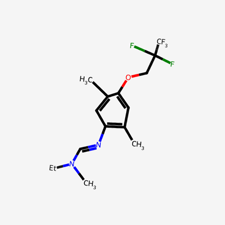 CCN(C)/C=N/c1cc(C)c(OCC(F)(F)C(F)(F)F)cc1C